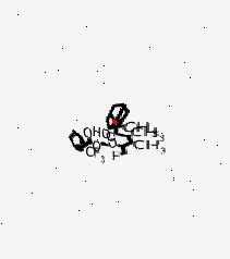 CC(C(CF)OCCOC(=O)C1(C(F)(F)F)CC2CCC1C2)C(C)C(OO)C1(C)C2CC3CC(C2)CC1C3